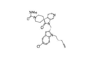 C#CCCCn1c(CN2C(=O)C3(CCN(C(=O)NC)CC3)c3ccncc32)cc2cc(Cl)ccc21